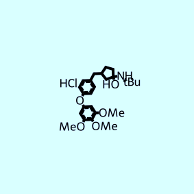 COc1cc(Oc2ccc(CC3CCC(O)(NC(C)(C)C)C3)cc2)cc(OC)c1OC.Cl